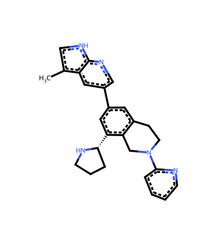 Cc1c[nH]c2ncc(-c3cc4c(c([C@@H]5CCCN5)c3)CN(c3ccccn3)CC4)cc12